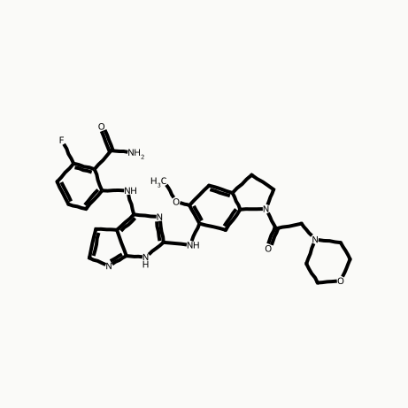 COc1cc2c(cc1Nc1nc(Nc3cccc(F)c3C(N)=O)c3ccnc-3[nH]1)N(C(=O)CN1CCOCC1)CC2